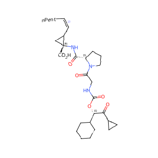 CCCCC/C=C\C1C[C@]1(NC(=O)[C@@H]1CCCN1C(=O)CNC(=O)O[C@H](C(=O)C1CC1)C1CCCCC1)C(=O)O